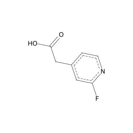 O=C(O)Cc1ccnc(F)c1